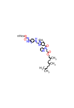 CCCCCCOC(=O)/N=C(\N)c1ccc(NCc2nc3cc(C(=O)N(CCC(=O)OC/C=C(\C)CC/C=C(\C)CCC=C(C)C)c4ccccn4)ccc3n2C)cc1